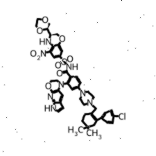 CC1(C)CCC(CN2CCN(c3ccc(C(=O)NS(=O)(=O)c4cc5c(c([N+](=O)[O-])c4)N[C@@H]([C@@H]4COCCO4)CO5)c(N4CCOc5nc6[nH]ccc6cc54)c3)CC2)=C(c2ccc(Cl)cc2)C1